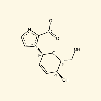 O=[N+]([O-])c1nccn1[C@@H]1C=C[C@H](O)[C@@H](CO)O1